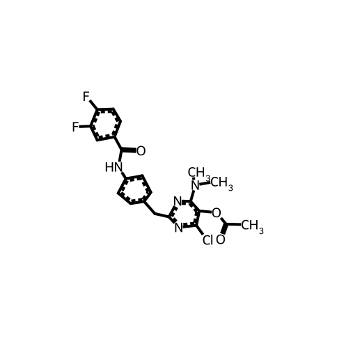 CC(=O)Oc1c(Cl)nc(Cc2ccc(NC(=O)c3ccc(F)c(F)c3)cc2)nc1N(C)C